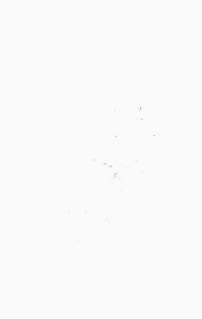 C[C@]12C=CC(=O)C=C1CC[C@@H]1[C@@H]2[C@@H](O)C[C@@]2(C)[C@H]1C[C@H]1O[C@@H](c3ccn(Cc4cccc(CS)c4)c3)O[C@]12C(=O)CO